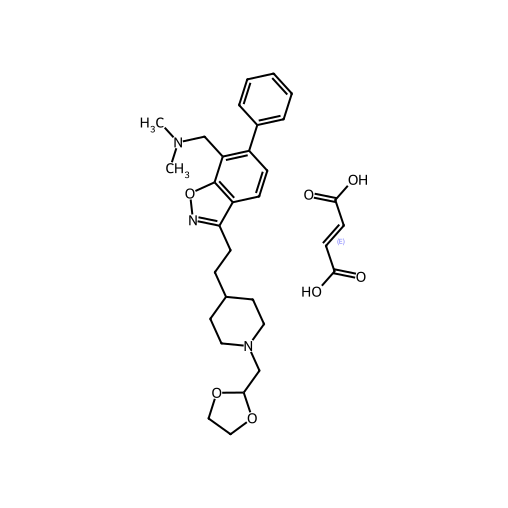 CN(C)Cc1c(-c2ccccc2)ccc2c(CCC3CCN(CC4OCCO4)CC3)noc12.O=C(O)/C=C/C(=O)O